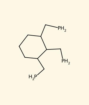 PCC1CCCC(CP)C1CP